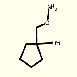 NOCC1(O)CCCC1